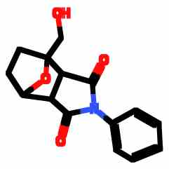 O=C1C2C3CCC(CO)(O3)C2C(=O)N1c1ccccc1